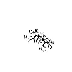 CCC([N+](=O)[O-])C(C)(C)OC(C)(C)C(CC)[N+](=O)[O-]